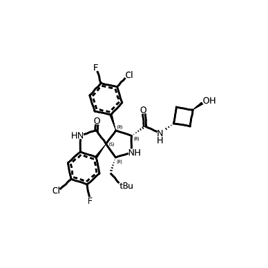 CC(C)(C)C[C@H]1N[C@@H](C(=O)N[C@H]2C[C@H](O)C2)[C@H](c2ccc(F)c(Cl)c2)[C@@]12C(=O)Nc1cc(Cl)c(F)cc12